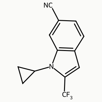 N#Cc1ccc2cc(C(F)(F)F)n(C3CC3)c2c1